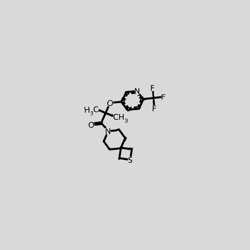 CC(C)(Oc1ccc(C(F)(F)F)nc1)C(=O)N1CCC2(CC1)CSC2